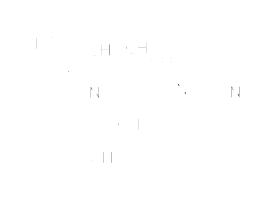 C=C(C[N+]1([O-])C=Nc2ccccc21)N1C(C)(C)CCCC1(C)C